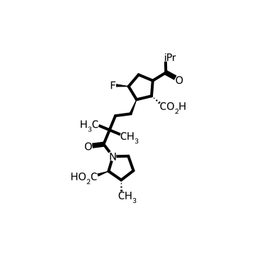 CC(C)C(=O)C1C[C@H](F)[C@H](CCC(C)(C)C(=O)N2CC[C@H](C)[C@H]2C(=O)O)[C@H]1C(=O)O